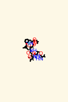 CC[C@H](C)[C@@H]([C@@H](CC(=O)N[C@@H](CC1C(C)=C1C)[C@H](OC)[C@@H](C)C(=O)N[C@@H](Cc1ccccc1F)C(=O)OC(C)(C)C)OC)N(C)C(=O)[C@@H](NC(=O)[C@@H](NC)C(C)C)C(C)C